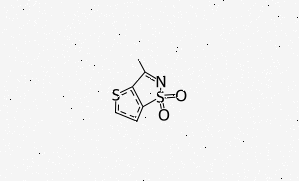 CC1=NS(=O)(=O)c2ccsc21